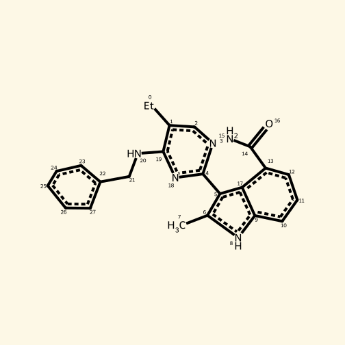 CCc1cnc(-c2c(C)[nH]c3cccc(C(N)=O)c23)nc1NCc1ccccc1